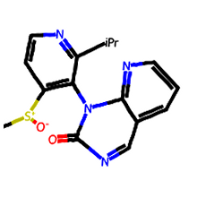 CC(C)c1nccc([S+](C)[O-])c1-n1c(=O)ncc2cccnc21